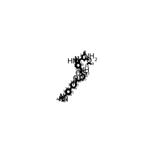 C=C/C=C(\C=C(/N)OC(C)C)c1n[nH]c2ccc(NC(=O)[C@]3(SC)CCN(CC(=O)N4CC=C(c5ccc(-c6ncn(C)n6)cc5)CC4)C3)cc12